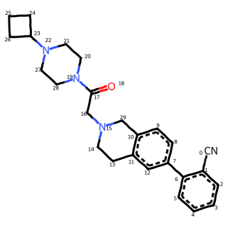 N#Cc1ccccc1-c1ccc2c(c1)CCN(CC(=O)N1CCN(C3CCC3)CC1)C2